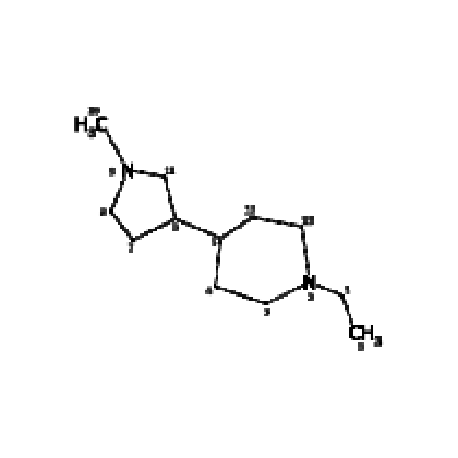 CCN1CCC(C2CCN(C)C2)CC1